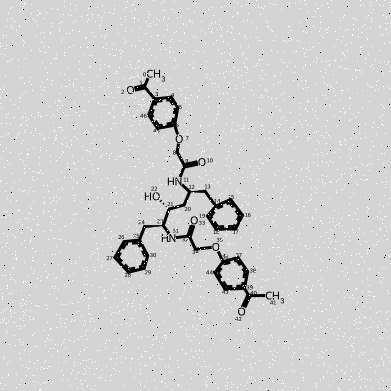 CC(=O)c1ccc(OCC(=O)N[C@@H](Cc2ccccc2)C[C@@H](O)[C@H](Cc2ccccc2)NC(=O)COc2ccc(C(C)=O)cc2)cc1